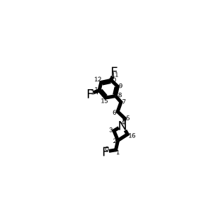 FCC1CN(CCCc2cc(F)cc(F)c2)C1